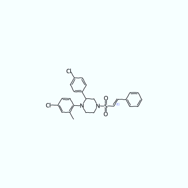 Cc1cc(Cl)ccc1N1CCN(S(=O)(=O)/C=C/c2ccccc2)CC1c1ccc(Cl)cc1